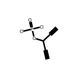 C#CC(C#C)OP(=O)(Cl)Cl